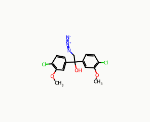 COc1cc(C(O)(CN=[N+]=[N-])c2ccc(Cl)c(OC)c2)ccc1Cl